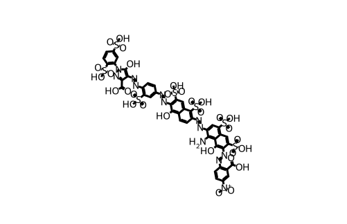 Nc1c(N=Nc2ccc3c(O)c(N=Nc4ccc(N=Nc5c(C(=O)O)nn(-c6cc(S(=O)(=O)O)ccc6S(=O)(=O)O)c5O)c(S(=O)(=O)O)c4)c(S(=O)(=O)O)cc3c2S(=O)(=O)O)cc(S(=O)(=O)O)c2cc(S(=O)(=O)O)c(N=Nc3ccc([N+](=O)[O-])cc3C(=O)O)c(O)c12